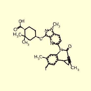 CC#CC(=O)N(c1ccc2c(n1)c(O[C@@H]1CC[C@H](C(=O)O)C(C)(C)C1)nn2C)c1cc(C)c(I)cc1C1CC1